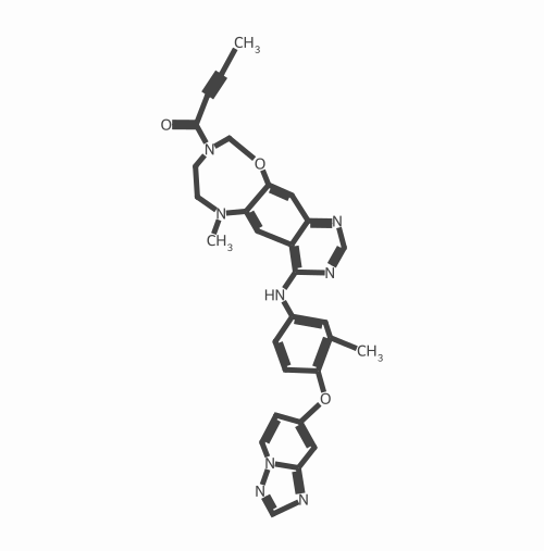 CC#CC(=O)N1CCN(C)c2cc3c(Nc4ccc(Oc5ccn6ncnc6c5)c(C)c4)ncnc3cc2OC1